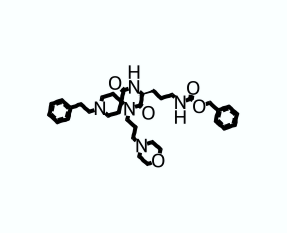 O=C(NCCC[C@@H]1NC(=O)C2(CCN(CCc3ccccc3)CC2)N(CCCN2CCOCC2)C1=O)OCc1ccccc1